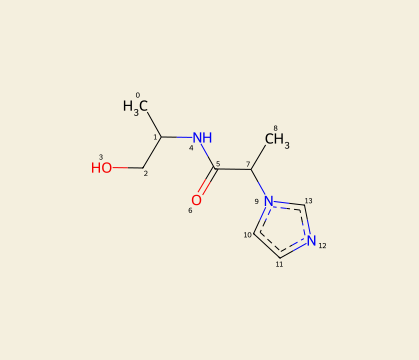 CC(CO)NC(=O)C(C)n1ccnc1